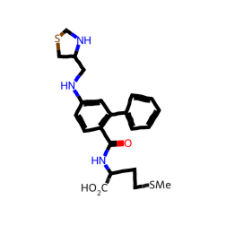 CSCCC(NC(=O)c1ccc(NCC2CSCN2)cc1-c1ccccc1)C(=O)O